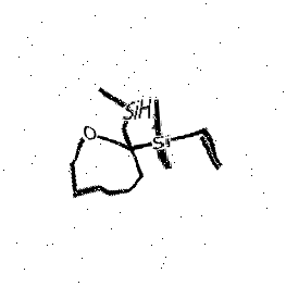 C=C[Si](C)(C)C1([SiH2]C)CCCCO1